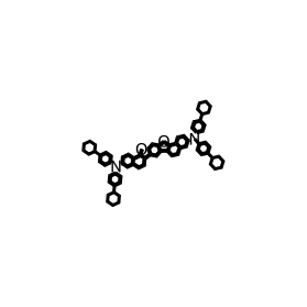 c1cc(N(c2ccc(C3CCCCC3)cc2)c2ccc3c(ccc4c5cc6c(cc5oc34)oc3c4ccc(N(c5ccc(C7CCCCC7)cc5)c5ccc(C7CCCCC7)cc5)cc4ccc63)c2)ccc1C1CCCCC1